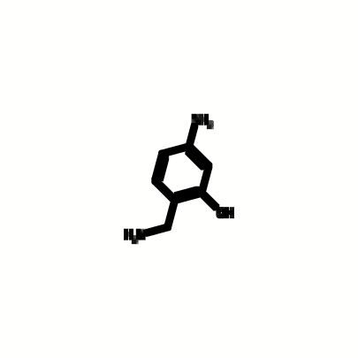 NCc1ccc(N)cc1O